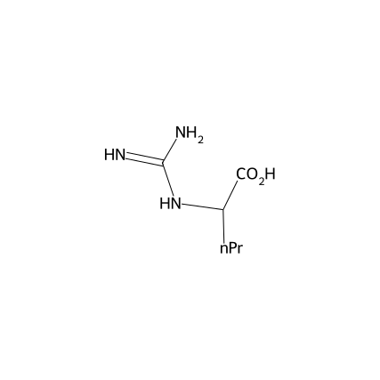 [CH2]CCC(NC(=N)N)C(=O)O